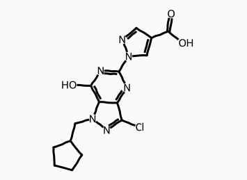 O=C(O)c1cnn(-c2nc(O)c3c(n2)c(Cl)nn3CC2CCCC2)c1